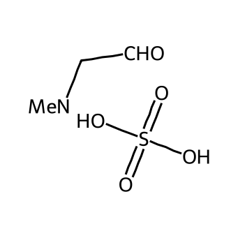 CNCC=O.O=S(=O)(O)O